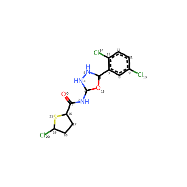 O=C(NC1NNC(c2cc(Cl)ccc2Cl)O1)C1CCC(Cl)S1